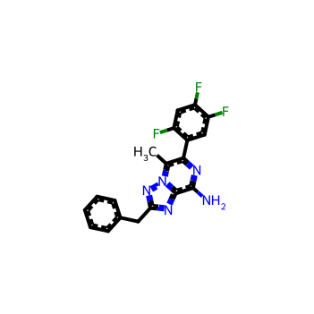 Cc1c(-c2cc(F)c(F)cc2F)nc(N)c2nc(Cc3ccccc3)nn12